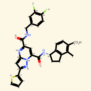 Cc1c(C(=O)O)ccc2c1CC[C@@H]2NC(=O)c1cc(C(=O)NCc2ccc(F)c(F)c2)nc2cc(-c3cccs3)nn12